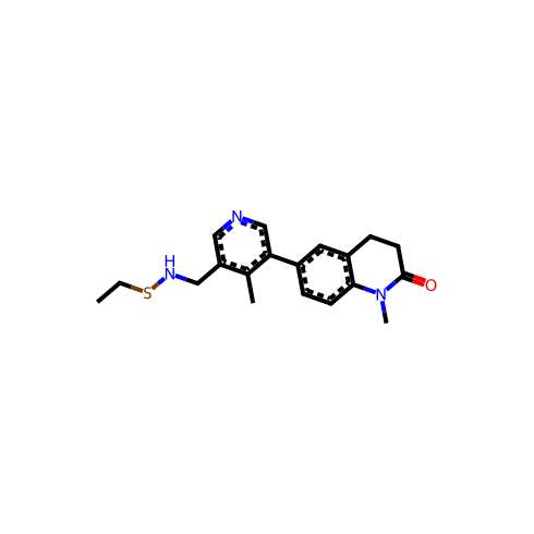 CCSNCc1cncc(-c2ccc3c(c2)CCC(=O)N3C)c1C